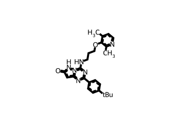 Cc1ccnc(C)c1OCCCNc1nc(-c2ccc(C(C)(C)C)cc2)nc2cc(=O)[nH]n12